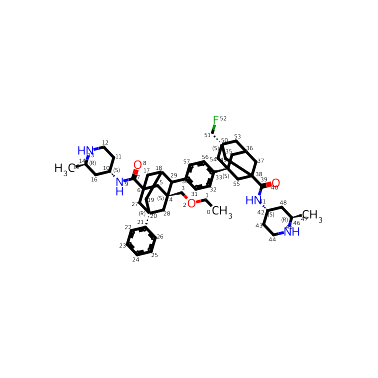 CCOC[C@]12CC3(C(=O)N[C@H]4CCN[C@H](C)C4)CC(C[C@](c4ccccc4)(C3)C1)C2c1ccc([C@]23CC4CC(C(=O)N[C@H]5CCN[C@H](C)C5)(C[C@](CF)(C4)C2)C3)cc1